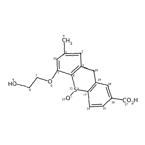 Cc1cc2c(c(OCCO)c1)[S+]([O-])c1ccc(C(=O)O)cc1C2